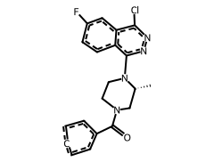 C[C@@H]1CN(C(=O)c2ccccc2)CCN1c1nnc(Cl)c2cc(F)ccc12